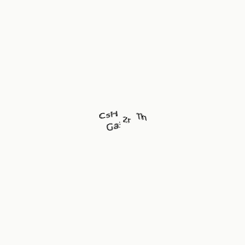 [CsH].[Ga].[Th].[Zr]